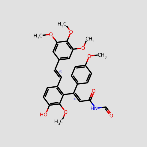 COc1ccc(/C(=C\C(=O)NC=O)c2c(/C=C/c3cc(OC)c(OC)c(OC)c3)ccc(O)c2OC)cc1